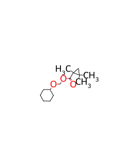 CC1(C)CC1(C)C(=O)OCOC1CCCCC1